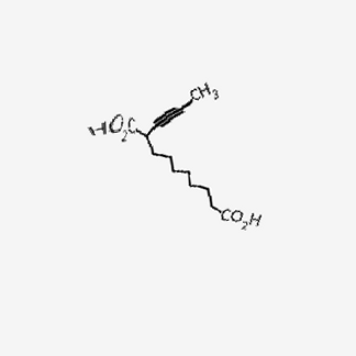 CC#CC(CCCCCCCC(=O)O)C(=O)O